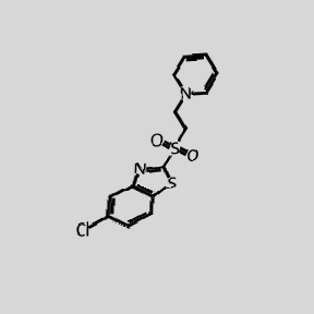 O=S(=O)(CCN1C=CC=CC1)c1nc2cc(Cl)ccc2s1